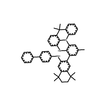 Cc1cc(-c2cc3c(cc2Nc2ccc(-c4ccccc4)cc2)C(C)(C)CCC3(C)C)c2c(c1)N1c3ccccc3C(C)(C)c3cccc(c31)B2